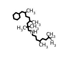 CC(C)CCC(C)CCCNCC(C)(C)CC(C)CCC(C)CC1CCCCC1